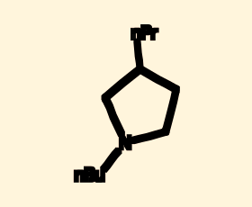 CCCCN1CCC(CCC)C1